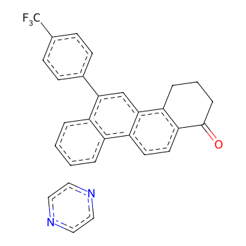 O=C1CCCc2c1ccc1c2cc(-c2ccc(C(F)(F)F)cc2)c2ccccc21.c1cnccn1